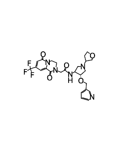 O=C(CN1CCn2c(cc(C(F)(F)F)cc2=O)C1=O)NC1CN(C2CCOC2)C[C@@H]1OCc1cccnc1